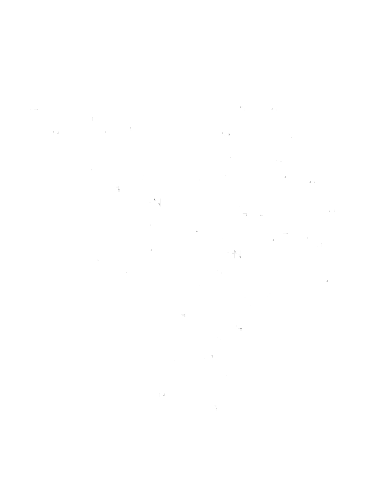 c1ccc(-c2ccc3c(c2)c2ccccc2n3-c2cc(-n3c4ccccc4c4cc(-c5ccccc5)ccc43)c3c4ccccc4c4ccccc4c3c2)cc1